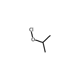 CC(C)OCl